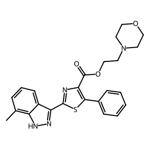 Cc1cccc2c(-c3nc(C(=O)OCCN4CCOCC4)c(-c4ccccc4)s3)n[nH]c12